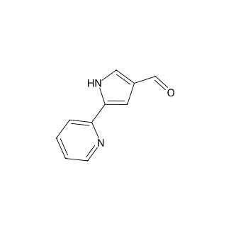 O=Cc1c[nH]c(-c2ccccn2)c1